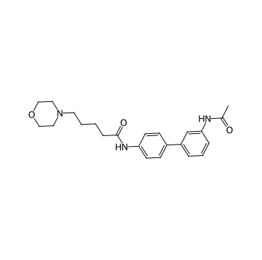 CC(=O)Nc1cccc(-c2ccc(NC(=O)CCCCN3CCOCC3)cc2)c1